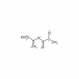 C=C(OC(=O)C(C)Cl)C(=O)OCC